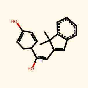 CC1(C)C(/C=C(/O)C2C=CC(O)=CC2)=Cc2ccccc21